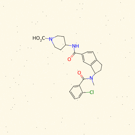 CN(C(=O)c1ccccc1Cl)C1CCc2ccc(C(=O)NC3CCN(C(=O)O)CC3)cc21